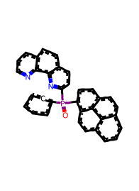 O=P(c1ccccc1)(c1ccc2ccc3cccnc3c2n1)c1ccc2ccc3cccc4ccc1c2c34